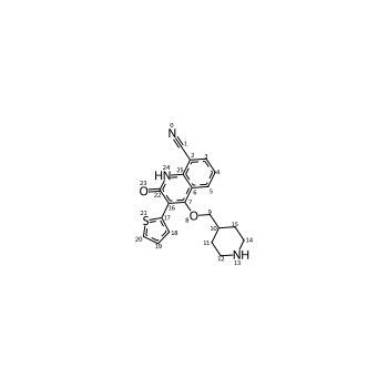 N#Cc1cccc2c(OCC3CCNCC3)c(-c3cccs3)c(=O)[nH]c12